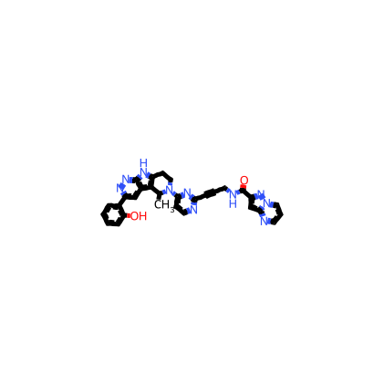 CC1c2c([nH]c3nnc(-c4ccccc4O)cc23)CCN1c1ccnc(C#CCNC(=O)c2cc3ncccn3n2)n1